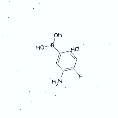 Cl.Nc1cc(B(O)O)ccc1F